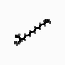 CCCCCCCCCC[CH](C)[Na]